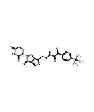 CC(C)(C)c1ccc(C(=O)C(=O)NCCc2scc3c2CN([C@H]2CCC(=O)NC2=O)C3=O)cc1